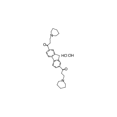 Cl.Cl.O=C(CCN1CCCCC1)c1ccc2c(c1)Cc1cc(C(=O)CCN3CCCCC3)ccc1-2